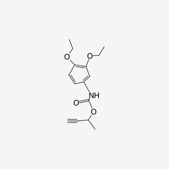 C#CC(C)OC(=O)Nc1ccc(OCC)c(OCC)c1